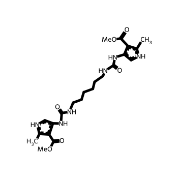 COC(=O)c1c(NC(=O)NCCCCCCNC(=O)Nc2c[nH]c(C)c2C(=O)OC)c[nH]c1C